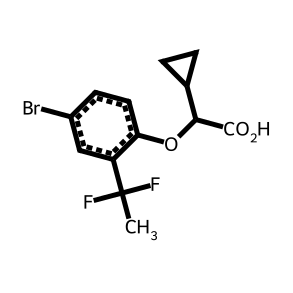 CC(F)(F)c1cc(Br)ccc1OC(C(=O)O)C1CC1